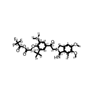 COc1cc2c(c(F)c1OC)C(=N)N(CC(=O)c1cc(N(C)C)c(OCC(=O)OC(=O)C(F)(F)F)c(C(C)(C)C)c1)C2